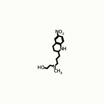 CN(CCO)CCCC1CCc2cc([N+](=O)[O-])ccc2N1